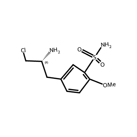 COc1ccc(C[C@@H](N)CCl)cc1S(N)(=O)=O